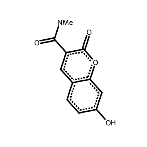 CNC(=O)c1cc2ccc(O)cc2oc1=O